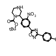 CC(C)(C)OC(=O)N1CCNCC1c1ccc(-c2nc(-c3ccc(F)cc3)no2)cc1[N+](=O)[O-]